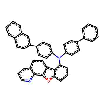 c1ccc(-c2ccc(N(c3ccc(-c4ccc5ccccc5c4)cc3)c3cccc4oc5c(ccc6cccnc65)c34)cc2)cc1